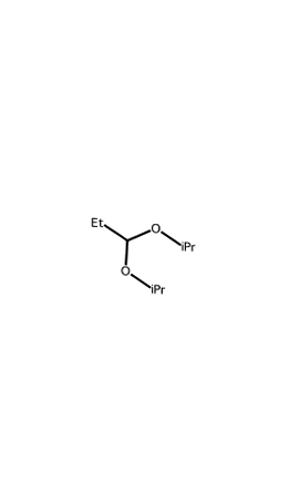 CCC(OC(C)C)OC(C)C